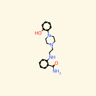 NC(=O)c1ccccc1NCCN1CCN(c2ccccc2O)CC1